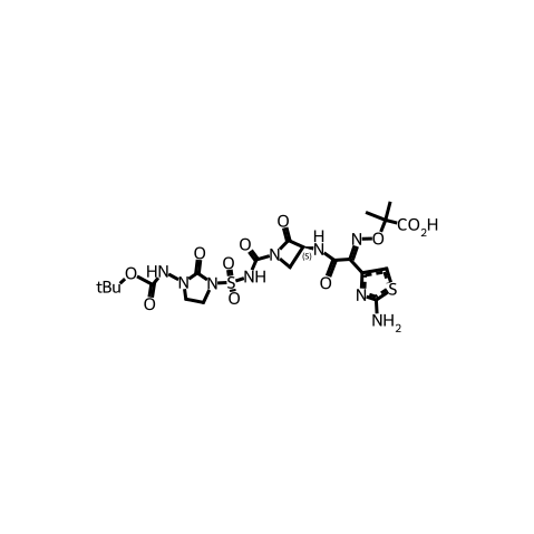 CC(C)(C)OC(=O)NN1CCN(S(=O)(=O)NC(=O)N2C[C@H](NC(=O)C(=NOC(C)(C)C(=O)O)c3csc(N)n3)C2=O)C1=O